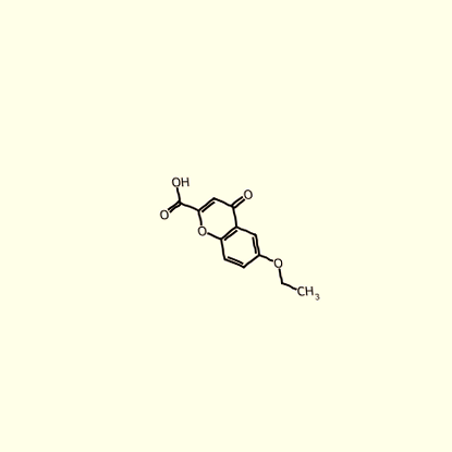 CCOc1ccc2oc(C(=O)O)cc(=O)c2c1